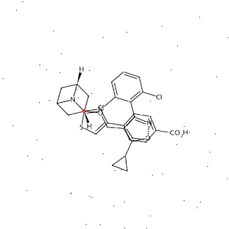 O=C(O)c1ccc(-c2csc(N3C4C[C@@H](OCc5c(-c6c(Cl)cccc6Cl)noc5C5CC5)C[C@H]3C4)n2)cc1